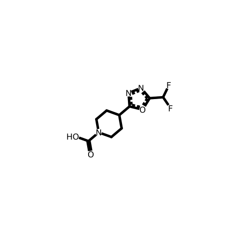 O=C(O)N1CCC(c2nnc(C(F)F)o2)CC1